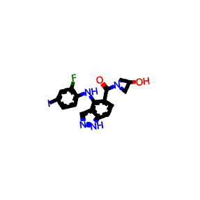 O=C(c1ccc2[nH]ncc2c1Nc1ccc(I)cc1F)N1CC(O)C1